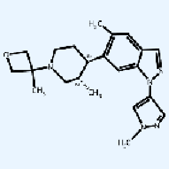 Cc1cc2cnn(-c3cnn(C)c3)c2cc1[C@@H]1CCN(C2(C)COC2)C[C@H]1C